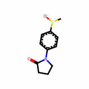 C[S+]([O-])c1ccc(N2CCCC2=O)cc1